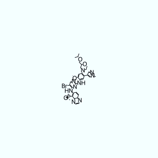 COc1cc(N2CCOC(COC(C)C)C2)c(-c2cnn(C)c2)cc1Nc1ncc(Br)c(Nc2ccc3nccnc3c2P(C)(C)=O)n1